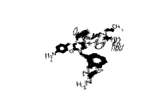 C=CCN(C(=O)NCCCC)N1CC(=O)N2[C@@H](Cc3ccc(N)cc3)C(=O)N(Cc3cccc4sc(N)nc34)C[C@@H]21